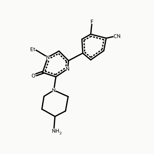 CCn1cc(-c2ccc(C#N)c(F)c2)nc(N2CCC(N)CC2)c1=O